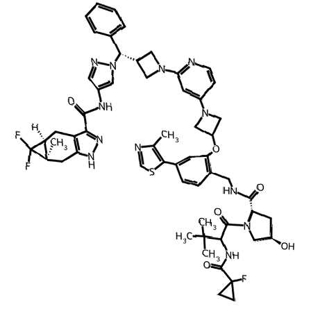 Cc1ncsc1-c1ccc(CNC(=O)[C@@H]2C[C@@H](O)CN2C(=O)C(NC(=O)C2(F)CC2)C(C)(C)C)c(OC2CN(c3ccnc(N4CC([C@@H](c5ccccc5)n5cc(NC(=O)c6n[nH]c7c6C[C@@H]6C(F)(F)[C@]6(C)C7)cn5)C4)c3)C2)c1